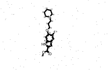 COC(=O)c1cc2cc(F)c(OCCCN3CCCCC3)cc2[nH]1